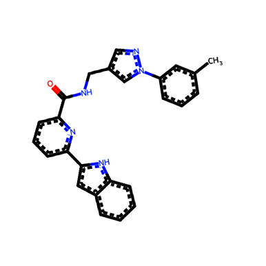 Cc1cccc(-n2cc(CNC(=O)c3cccc(-c4cc5ccccc5[nH]4)n3)cn2)c1